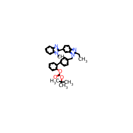 CCc1nc2ccc(-c3nc4ccccc4n3C)cc2n1Cc1ccc(-c2ccccc2OC(=O)OC(C)(C)C)cc1